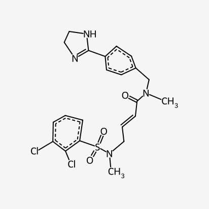 CN(Cc1ccc(C2=NCCN2)cc1)C(=O)/C=C/CN(C)S(=O)(=O)c1cccc(Cl)c1Cl